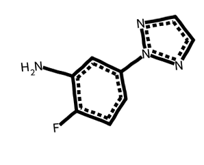 Nc1cc(-n2nccn2)ccc1F